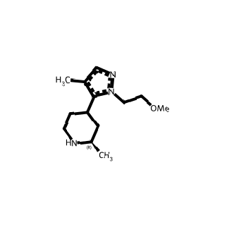 COCCn1ncc(C)c1C1CCN[C@H](C)C1